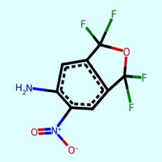 Nc1cc2c(cc1[N+](=O)[O-])C(F)(F)OC2(F)F